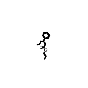 CCCOC(=O)CC(CCC)c1ccccc1